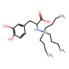 CCC[CH2][Sn]([CH2]CCC)([CH2]CCC)[NH]C(Cc1ccc(O)c(O)c1)C(=O)O